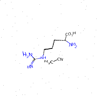 CC#N.N=C(N)NCCCC(N)C(=O)O